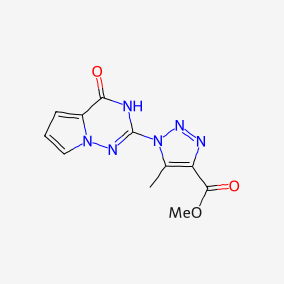 COC(=O)c1nnn(-c2nn3cccc3c(=O)[nH]2)c1C